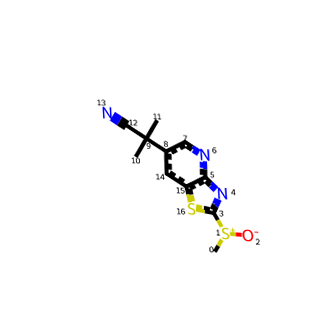 C[S+]([O-])c1nc2ncc(C(C)(C)C#N)cc2s1